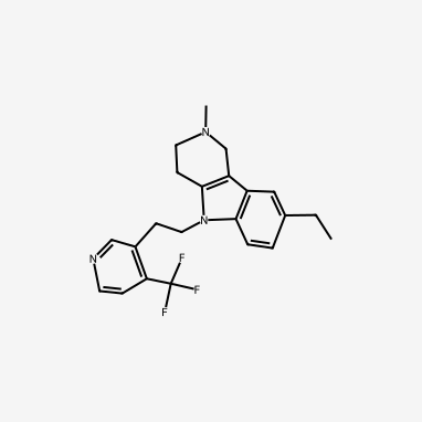 CCc1ccc2c(c1)c1c(n2CCc2cnccc2C(F)(F)F)CCN(C)C1